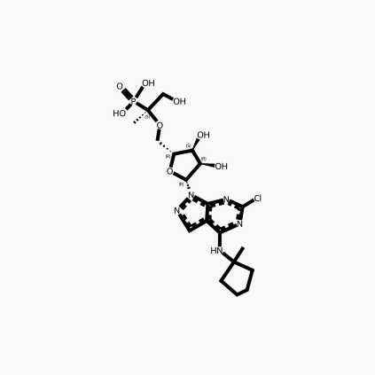 CC1(Nc2nc(Cl)nc3c2cnn3[C@@H]2O[C@H](CO[C@](C)(CO)P(=O)(O)O)[C@@H](O)[C@H]2O)CCCC1